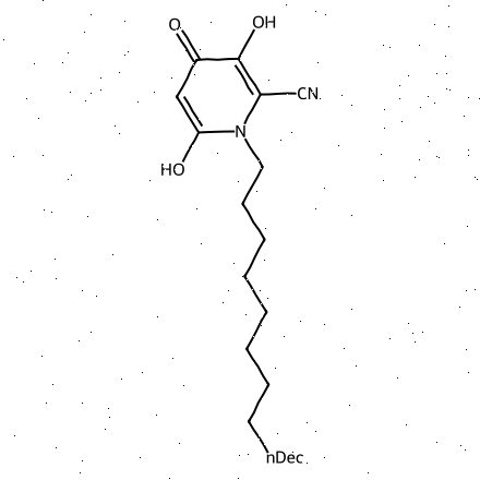 CCCCCCCCCCCCCCCCCCn1c(O)cc(=O)c(O)c1C#N